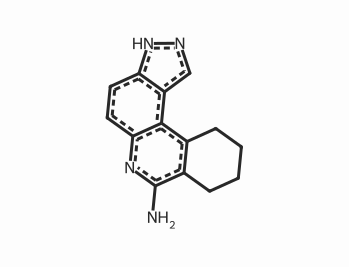 Nc1nc2ccc3[nH]ncc3c2c2c1CCCC2